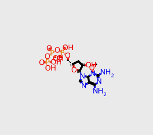 CON1C(N)=NC(N)=C2N=CN([C@@H]3O[C@H](COP(=O)(O)OP(=O)(O)OP(=O)(O)O)C[C@H]3O)C21